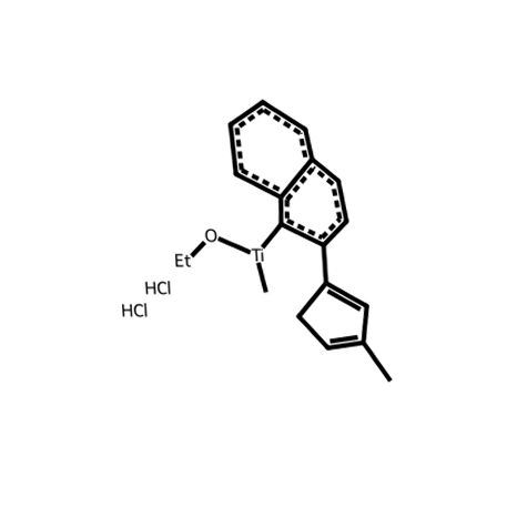 CC[O][Ti]([CH3])[c]1c(C2=CC(C)=CC2)ccc2ccccc12.Cl.Cl